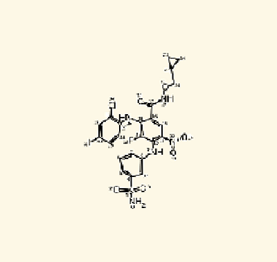 NS(=O)(=O)c1cccc(Nc2c([N+](=O)[O-])cc(C(=O)NOCC3CC3)c(Nc3ccc(I)cc3Cl)c2F)c1